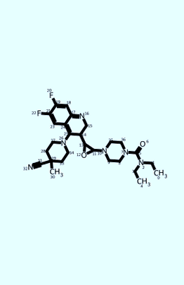 CCN(CC)C(=O)N1CCN(C2OC2C2CN=c3cc(F)c(F)cc3=C2N2CCC(C)(C#N)CC2)CC1